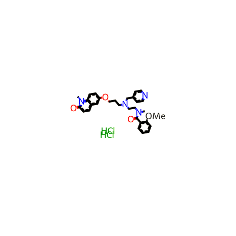 COc1ccccc1C(=O)N(C)CCN(CCCOc1ccc2c(ccc(=O)n2C)c1)Cc1ccncc1.Cl.Cl